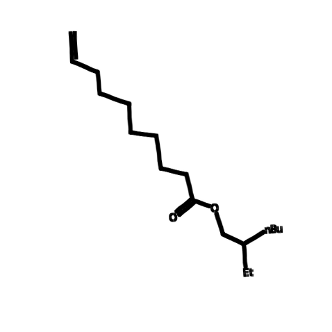 C=CCCCCCCCC(=O)OCC(CC)CCCC